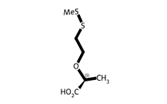 CSSCCO[C@@H](C)C(=O)O